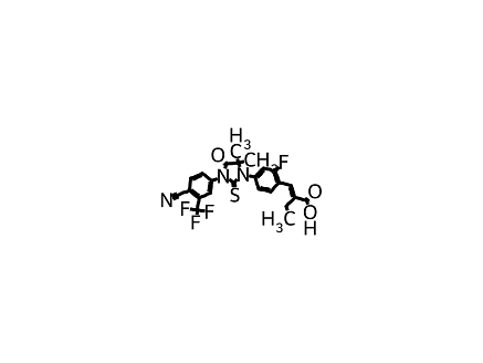 CC/C(=C\c1ccc(N2C(=S)N(c3ccc(C#N)c(C(F)(F)F)c3)C(=O)C2(C)C)cc1F)C(=O)O